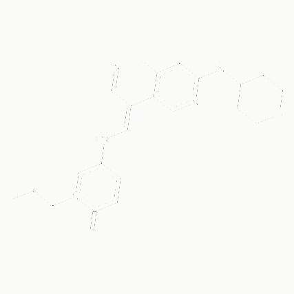 CCCn1cc(N/C=C(\C=N)c2cnc(NC3CCOCC3)cc2F)ccc1=O